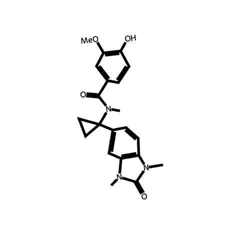 COc1cc(C(=O)N(C)C2(c3ccc4c(c3)n(C)c(=O)n4C)CC2)ccc1O